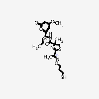 CCC[C@@H](NC(=O)C1(C)CSC(/C(C)=N/OCCCS)=N1)c1cc(OC)cc(=O)o1